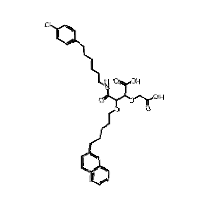 O=C(O)COC(C(=O)O)C(OCCCCCc1ccc2ccccc2c1)C(=O)NCCCCCCc1ccc(Cl)cc1